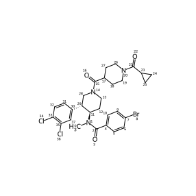 CN(C(=O)c1ccc(Br)cc1)[C@@H]1CCN(C(=O)C2CCN(C(=O)C3CC3)CC2)C[C@H]1c1ccc(Cl)c(Cl)c1